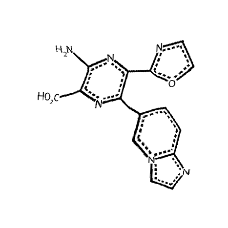 Nc1nc(-c2ncco2)c(-c2ccc3nccn3c2)nc1C(=O)O